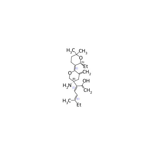 C=C(O)/C(=C\C=C(/C)CC)[C@@]1(N)CO/C(=C2\CCC(C)(C)O[C@H]2CC)C(=C)C1